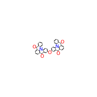 O=c1c2ccccc2n2c3ccc(Oc4ccc5c(c4)c(=O)c4cccc6c(=O)c7ccccc7n5c64)cc3c(=O)c3cccc1c32